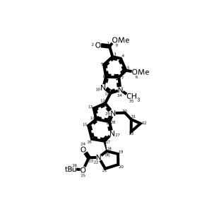 COC(=O)c1cc(OC)c2c(c1)nc(-c1cc3ccc([C@H]4CCCN4C(=O)OC(C)(C)C)nc3n1CC1CC1)n2C